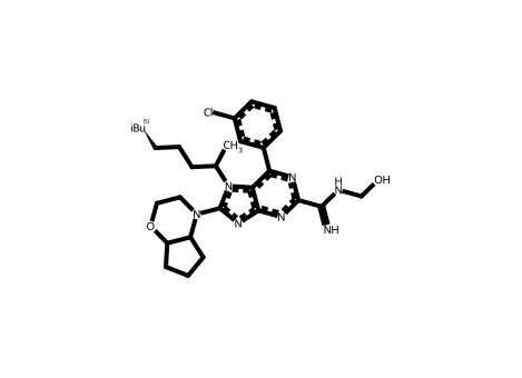 CC[C@H](C)CCCC(C)n1c(N2CCOC3CCCC32)nc2nc(C(=N)NCO)nc(-c3cccc(Cl)c3)c21